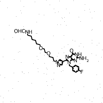 Nc1nc2c(nc(-c3cnn(CCCOCCOCCCCCCNC=O)c3)n2Cc2ccc(F)cc2)c(=O)[nH]1